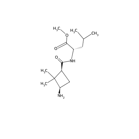 COC(=O)[C@H](CC(C)C)NC(=O)[C@H]1C[C@@H](N)C1(C)C